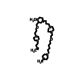 COCCN1CCN(CCCOCC2CN(CCCN3CCN(CCOCCCCCCN4CCN(C)CC4)CC3)CCN2C)CC1